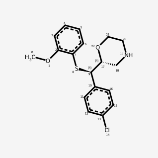 COc1ccccc1S[C@H](c1ccc(Cl)cc1)[C@H]1CNCCO1